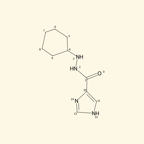 O=C(NNC1CCCCC1)c1c[nH]cn1